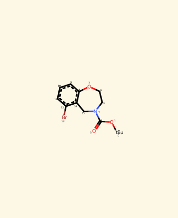 CC(C)(C)OC(=O)N1CCOc2cccc(Br)c2C1